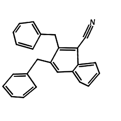 N#Cc1c(Cc2ccccc2)c(Cc2ccccc2)cc2ccccc12